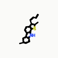 C=C/C=C\c1c(C)sc2c1ccc1c3cc(C)ccc3[nH]c12